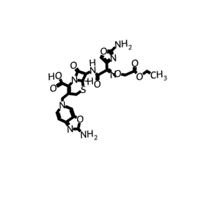 CCOC(=O)CO/N=C(/C(=O)NC1C(=O)N2C(C(=O)O)=C(CN3C=CC4=NC(N)OC4=C3)CS[C@H]12)c1coc(N)n1